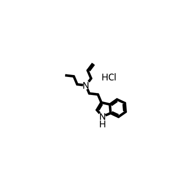 C=CCN(CCC)CCc1c[nH]c2ccccc12.Cl